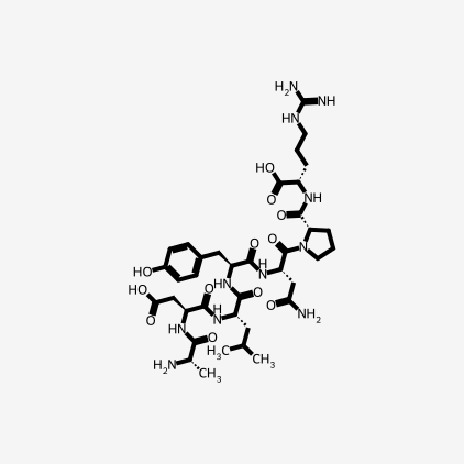 CC(C)C[C@H](NC(=O)[C@H](CC(=O)O)NC(=O)[C@H](C)N)C(=O)N[C@@H](Cc1ccc(O)cc1)C(=O)N[C@@H](CC(N)=O)C(=O)N1CCC[C@H]1C(=O)N[C@@H](CCCNC(=N)N)C(=O)O